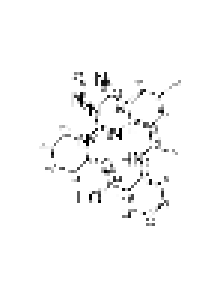 Cc1cc(C(C)Nc2ccccc2C(=O)O)c2nc(N3CCCCC3)n3ncnc3c2c1